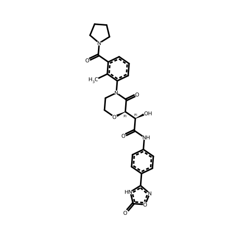 Cc1c(C(=O)N2CCCC2)cccc1N1CCO[C@H]([C@@H](O)C(=O)Nc2ccc(-c3noc(=O)[nH]3)cc2)C1=O